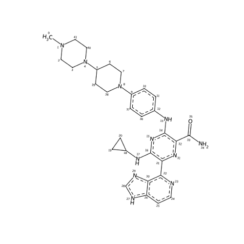 CN1CCN(C2CCN(c3ccc(Nc4nc(NC5CC5)c(-c5nccc6[nH]cnc56)nc4C(N)=O)cc3)CC2)CC1